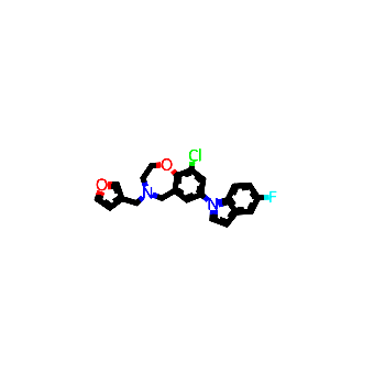 Fc1ccc2c(ccn2-c2cc(Cl)c3c(c2)CN(Cc2ccoc2)CCO3)c1